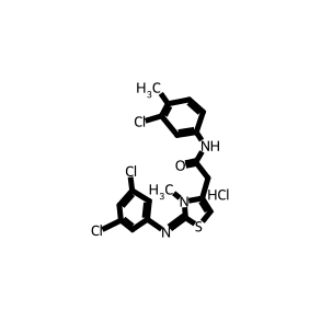 Cc1ccc(NC(=O)Cc2csc(=Nc3cc(Cl)cc(Cl)c3)n2C)cc1Cl.Cl